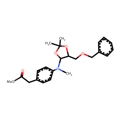 COC(=O)Cc1ccc(N(C)C2OC(C)(C)OC2COCc2ccccc2)cc1